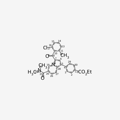 CCOC(=O)c1ccc(-c2cc(C(=O)c3c(C)cccc3Cl)n3cc(C(=O)N(C)C)ccc23)cc1